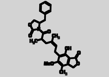 COc1c(C)c2c(c(O)c1CC=C(C)CC(C)C(=O)N1C(=O)OCC1Cc1ccccc1)C(=O)OC2